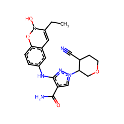 CCC1=Cc2cc(Nc3nn(C4COCCC4C#N)cc3C(N)=O)ccc2OB1O